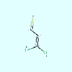 S=CC=C(Cl)Cl